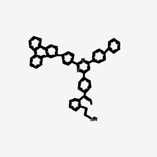 C/C=C(/c1ccc(-c2cc(-c3ccc(-c4ccccc4)cc3)nc(-c3ccc(-c4ccc5c6ccccc6c6ccccc6c5c4)cc3)n2)cc1)c1ccccc1/C=C/CCC